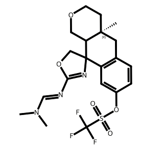 CN(C)C=NC1=NC2(CO1)c1cc(OS(=O)(=O)C(F)(F)F)ccc1C[C@]1(C)CCOCC21